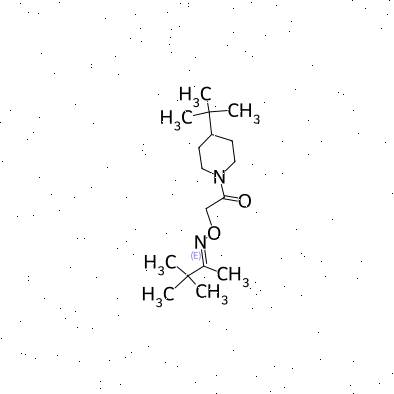 C/C(=N\OCC(=O)N1CCC(C(C)(C)C)CC1)C(C)(C)C